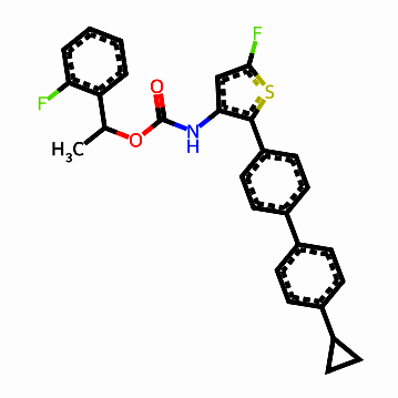 CC(OC(=O)Nc1cc(F)sc1-c1ccc(-c2ccc(C3CC3)cc2)cc1)c1ccccc1F